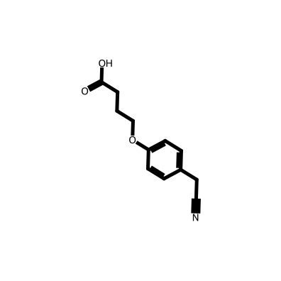 N#CCc1ccc(OCCCC(=O)O)cc1